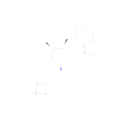 CC[C@@H]1C[C@H](NS(=O)(=O)N2CC(F)(F)C2)C[C@@H]1c1nnc2cnc3[nH]ccc3n12